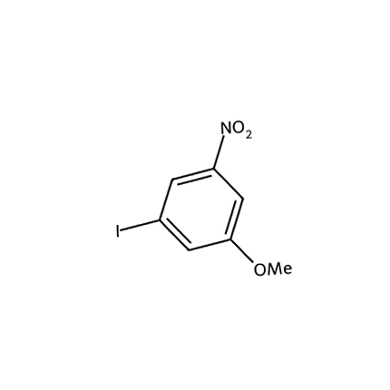 COc1cc(I)cc([N+](=O)[O-])c1